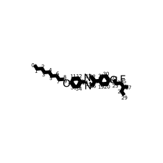 CCCCCCCCCOc1ccc(-c2ncc(-c3ccc(OCC(F)C(C)CC)cc3)cn2)cc1